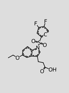 CCOc1ccc2c(c1)c(CCC(=O)O)cn2S(=O)(=O)c1ccc(F)c(F)c1